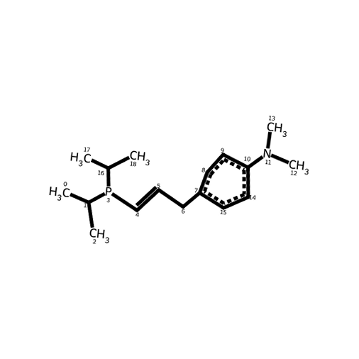 CC(C)P(C=CCc1ccc(N(C)C)cc1)C(C)C